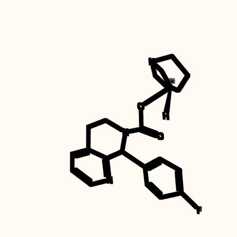 O=C(O[C@@H]1CN2CCC1CC2)N1CCc2cccnc2C1c1ccc(F)cc1